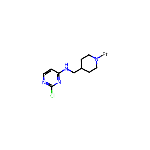 CCN1CCC(CNc2ccnc(Cl)n2)CC1